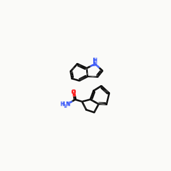 NC(=O)C1CCc2ccccc21.c1ccc2[nH]ccc2c1